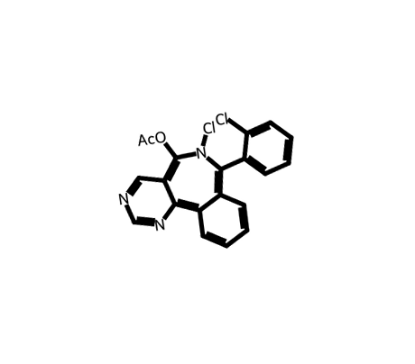 CC(=O)OC1=c2cncnc2=c2ccccc2=C(c2ccccc2Cl)N1Cl